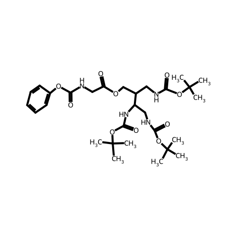 CC(C)(C)OC(=O)NCC(COC(=O)CNC(=O)Oc1ccccc1)C(CNC(=O)OC(C)(C)C)NC(=O)OC(C)(C)C